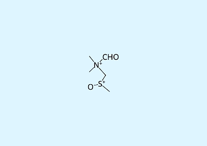 C[S+]([O-])C[N+](C)(C)C=O